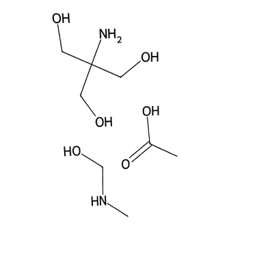 CC(=O)O.CNCO.NC(CO)(CO)CO